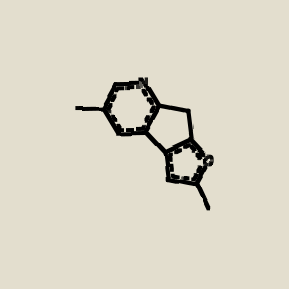 Cc1cnc2c(c1)-c1cc(C)oc1C2